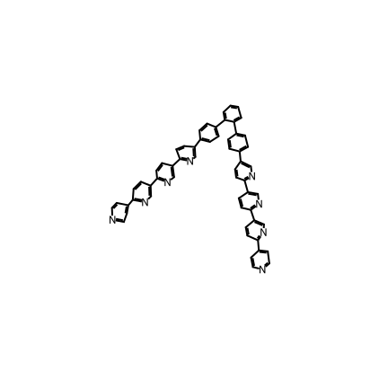 c1ccc(-c2ccc(-c3ccc(-c4ccc(-c5ccc(-c6ccncc6)nc5)nc4)nc3)cc2)c(-c2ccc(-c3ccc(-c4ccc(-c5ccc(-c6ccncc6)nc5)nc4)nc3)cc2)c1